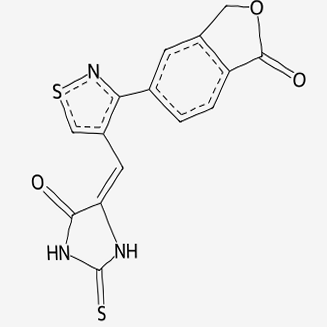 O=C1NC(=S)N/C1=C/c1csnc1-c1ccc2c(c1)COC2=O